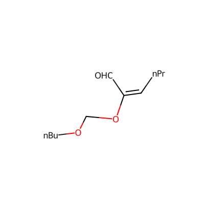 CCC/C=C(\C=O)OCOCCCC